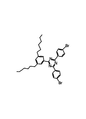 CCCCCCc1cc(CCCCCC)cc(-c2nc(-c3ccc(Br)cc3)nc(-c3ccc(Br)cc3)n2)c1